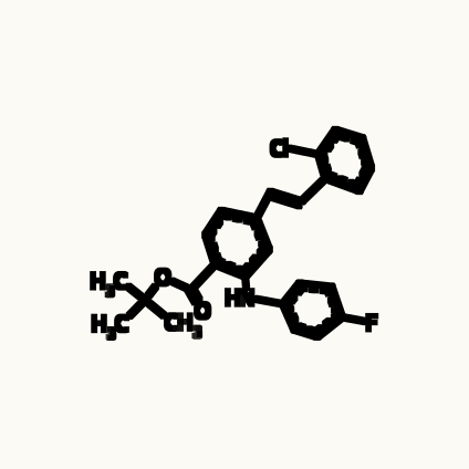 CC(C)(C)OC(=O)c1ccc(C=Cc2ccccc2Cl)cc1Nc1ccc(F)cc1